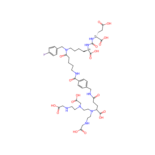 O=C(O)CC[C@@H](NC(=O)N[C@H](CCCCN(Cc1ccc(I)cc1)C(=O)CCCCNC(=O)c1ccc(CNC(=O)CCC(C(=O)O)N(CCNCC(=O)O)CCN(CCNCC(=O)O)CC(=O)O)cc1)C(=O)O)C(=O)O